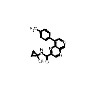 N#CC1(NC(=O)c2cnc3cncc(-c4ccc(C(F)(F)F)cc4)c3n2)CC1